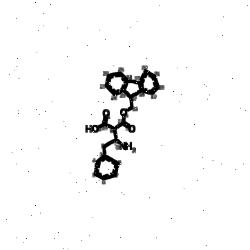 NC(Cc1ccccc1)C(C(=O)O)C(=O)OCC1c2ccccc2-c2ccccc21